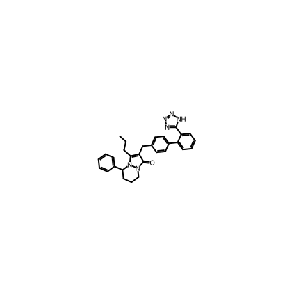 CCCc1c(Cc2ccc(-c3ccccc3-c3nnn[nH]3)cc2)c(=O)n2n1C(c1ccccc1)CCC2